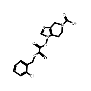 O=C(OCc1ccccc1Cl)C(=O)On1cnc2c1CCN(C(=O)O)C2